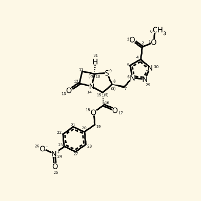 COC(=O)c1cn(C[C@@H]2S[C@@H]3CC(=O)N3[C@H]2C(=O)OCc2ccc([N+](=O)[O-])cc2)nn1